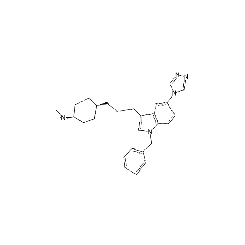 C[N][C@H]1CC[C@@H](CCCc2cn(Cc3ccccc3)c3ccc(-n4cnnc4)cc23)CC1